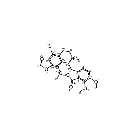 COc1ccc2c(c1OC)C(=O)O[C@@H]2[C@H]1c2c(c(F)c3c(c2OC)OCO3)CCN1C